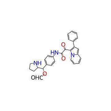 O=COC(c1ccc(NC(=O)C(=O)c2c(-c3ccccc3)cc3ccccn23)cc1)C1CCCN1